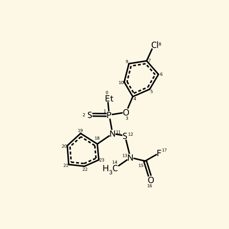 CCP(=S)(Oc1ccc(Cl)cc1)N(SN(C)C(=O)F)c1ccccc1